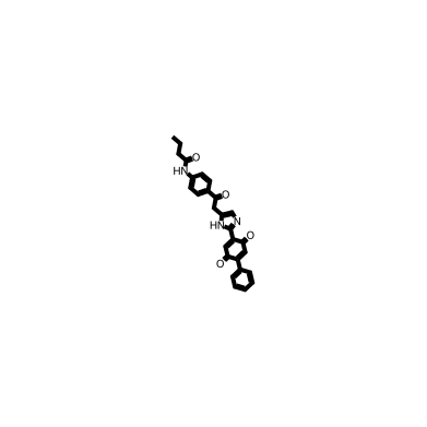 CCCC(=O)Nc1ccc(C(=O)Cc2cnc(C3=CC(=O)C(c4ccccc4)=CC3=O)[nH]2)cc1